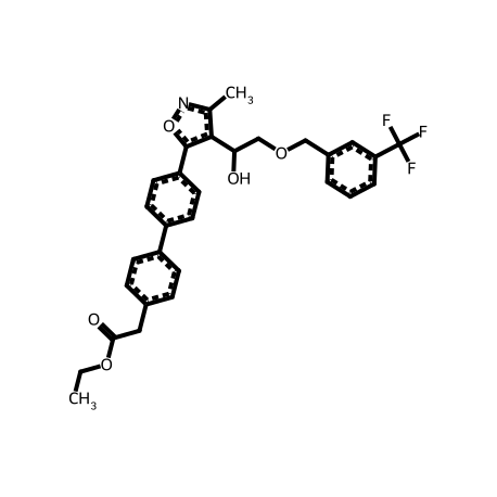 CCOC(=O)Cc1ccc(-c2ccc(-c3onc(C)c3C(O)COCc3cccc(C(F)(F)F)c3)cc2)cc1